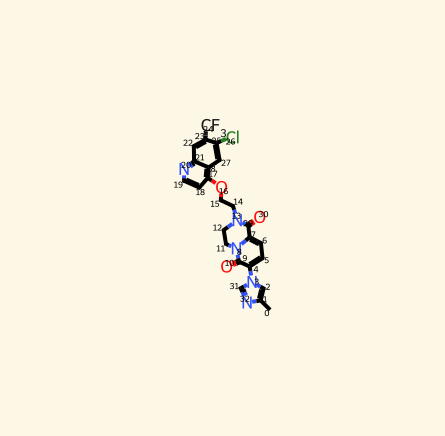 Cc1cn(-c2ccc3n(c2=O)CCN(CCOc2ccnc4cc(C(F)(F)F)c(Cl)cc24)C3=O)cn1